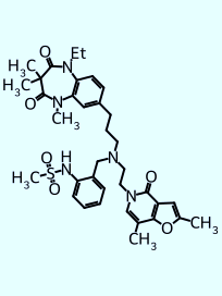 CCN1C(=O)C(C)(C)C(=O)N(C)c2cc(CCCN(CCn3cc(C)c4oc(C)cc4c3=O)Cc3ccccc3NS(C)(=O)=O)ccc21